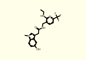 CCNc1nc(C(F)(F)F)ccc1CNC(=O)Cc1cn(C)c2ccc(O)cc12